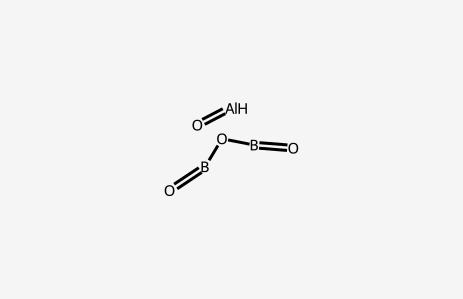 O=BOB=O.[O]=[AlH]